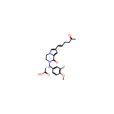 COc1ccc([C@H](CC(=O)O)N2CCn3cc(/C=C/CCC(C)=O)cc3C2=O)cc1F